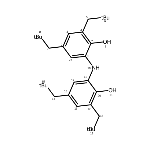 CC(C)(C)Cc1cc(CC(C)(C)C)c(O)c(Nc2cc(CC(C)(C)C)cc(CC(C)(C)C)c2O)c1